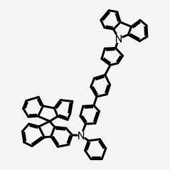 c1ccc(N(c2ccc(-c3ccc(-c4ccc(-n5c6ccccc6c6ccccc65)cc4)cc3)cc2)c2ccc3c(c2)C2(c4ccccc4-c4ccccc42)c2ccccc2-3)cc1